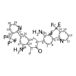 CC(C(=O)C(C)c1ccc(-c2ncccc2C(F)(F)F)cc1N)c1ccc(-c2ncccc2C(F)(F)F)cc1N